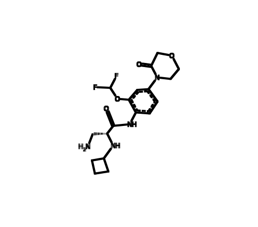 NC[C@@H](NC1CCC1)C(=O)Nc1ccc(N2CCOCC2=O)cc1OC(F)F